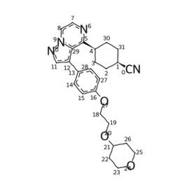 N#C[C@H]1CC[C@@H](c2nccn3ncc(-c4ccc(OCCOC5CCOCC5)cc4)c23)CC1